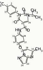 Cc1ccc(-n2c(=O)c(C(=O)Nc3ccc(Oc4cc(C)nc5ccnn45)cc3)cn(C(C)C)c2=O)cc1